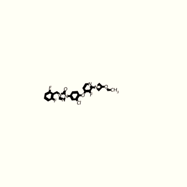 CCOC1CN(c2nccc(Oc3ccc(-n4ncn(Cc5c(F)cccc5F)c4=O)cc3Cl)c2F)C1